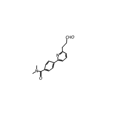 CN(C)C(=O)c1ccc(-c2cccc(CCC=O)n2)cc1